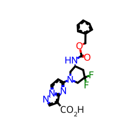 O=C(N[C@H]1CN(c2ccn3ncc(C(=O)O)c3n2)CC(F)(F)C1)OCc1ccccc1